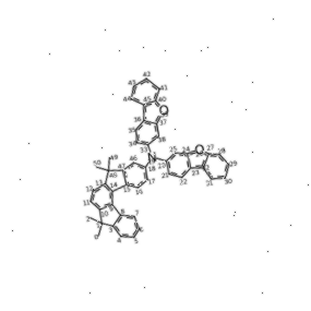 CC1(C)c2ccccc2-c2c1ccc1c2-c2ccc(N(c3ccc4c(c3)oc3ccccc34)c3ccc4c(c3)oc3ccccc34)cc2C1(C)C